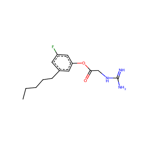 CCCCCc1cc(F)cc(OC(=O)CNC(=N)N)c1